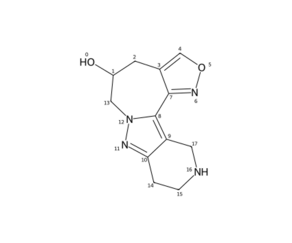 OC1Cc2conc2-c2c3c(nn2C1)CCNC3